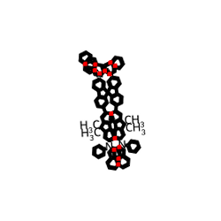 CC1(C)c2cc(-c3ccc4c(c3)C3(c5cc(-c6ccc7c(c6)C(C)(C)c6cc(N(c8ccccc8)c8ccc9ccccc9c8)ccc6-7)ccc5-c5ccc(N(c6ccccc6)c6ccc7ccccc7c6)cc53)c3cc(N(c5ccccc5)c5ccc6ccccc6c5)ccc3-4)ccc2-c2ccc(N(c3ccccc3)c3ccc4ccccc4c3)cc21